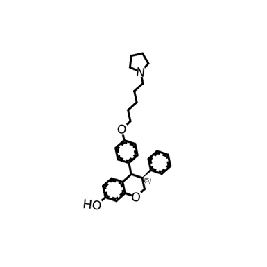 Oc1ccc2c(c1)OC[C@H](c1ccccc1)C2c1ccc(OCCCCCN2CCCC2)cc1